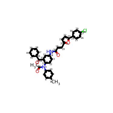 CC(=O)N(c1ccc(C)cc1)c1ccc(NC(=O)C=Cc2ccc(-c3ccc(Cl)cc3)o2)cc1C(=O)c1ccccc1